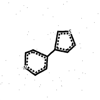 [c]1cscc1-c1ccncc1